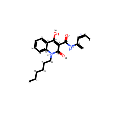 C=C(/C=C\C)NC(=O)c1c(O)c2ccccc2n(CCCCCC)c1=O